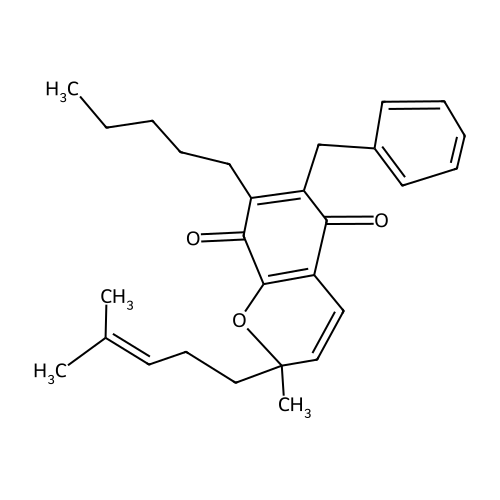 CCCCCC1=C(Cc2ccccc2)C(=O)C2=C(OC(C)(CCC=C(C)C)C=C2)C1=O